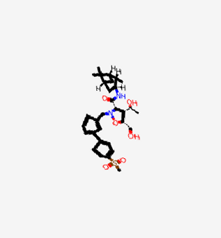 C[C@@H]1[C@@H](NC(=O)[C@@H]2[C@H]([C@H](C)O)[C@H](CO)ON2Cc2cccc(-c3ccc(S(C)(=O)=O)cc3)c2)C[C@H]2C[C@@H]1C2(C)C